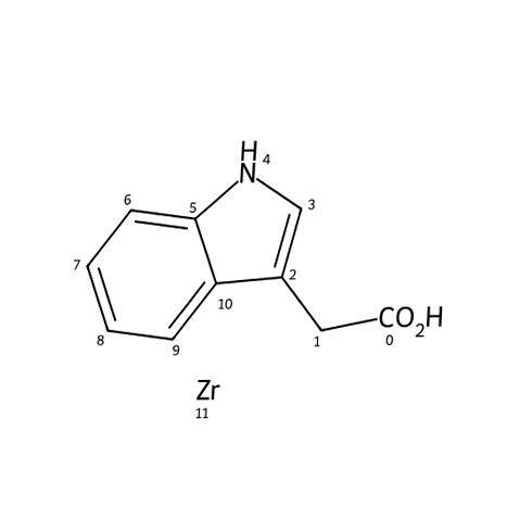 O=C(O)Cc1c[nH]c2ccccc12.[Zr]